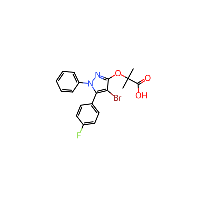 CC(C)(Oc1nn(-c2ccccc2)c(-c2ccc(F)cc2)c1Br)C(=O)O